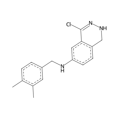 Cc1ccc(CNc2ccc3c(c2)C(Cl)=NNC3)cc1C